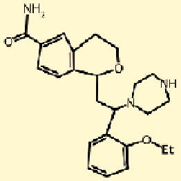 CCOc1ccccc1C(CC1OCCc2cc(C(N)=O)ccc21)N1CCNCC1